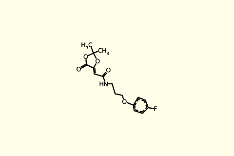 CC1(C)OC(=O)C(=CC(=O)NCCCOc2ccc(F)cc2)O1